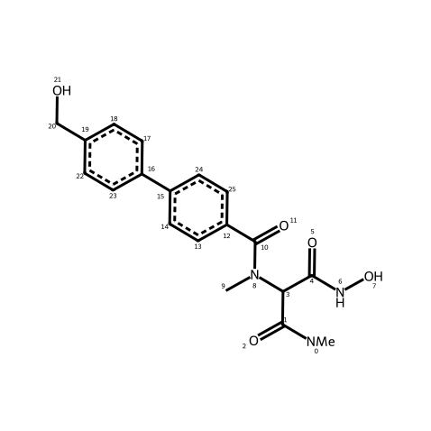 CNC(=O)C(C(=O)NO)N(C)C(=O)c1ccc(-c2ccc(CO)cc2)cc1